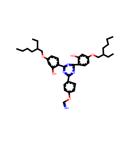 CCCCC(CC)COc1ccc(-c2nc(-c3ccc(OC=N)cc3)nc(-c3ccc(OCC(CC)CCCC)cc3O)n2)c(O)c1